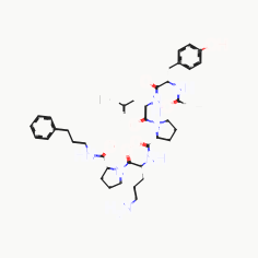 CC(=O)N[C@@H](Cc1ccc(O)cc1)C(=O)N[C@@H](CC(C)C)C(=O)N1CCC[C@H]1C(=O)N[C@@H](CCCN)C(=O)N1CCC[C@H]1C(=O)NCCCc1ccccc1